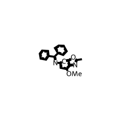 COc1cc(N=C(c2ccccc2)c2ccccc2)cc2oc(C)nc12